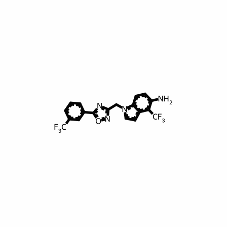 Nc1ccc2c(ccn2Cc2noc(-c3cccc(C(F)(F)F)c3)n2)c1C(F)(F)F